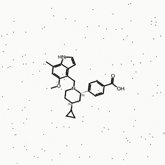 COc1cc(C)c2[nH]ccc2c1CN1CC[C@H](C2CC2)C[C@H]1c1ccc(C(=O)O)cc1